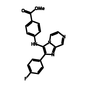 COC(=O)c1ccc(Nc2c(-c3ccc(F)cc3)nc3cnccn23)cc1